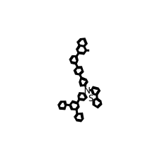 CC1C=C(c2cccc(-c3ccc(-c4ccc(N(c5ccc(-c6cc(-c7ccccc7)cc(-c7ccccc7)c6)cc5)c5cccc6c5sc5ccccc56)cc4)cc3)c2)C=C2C=CC=CC21